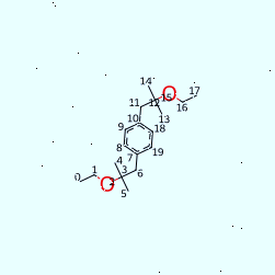 CCOC(C)(C)Cc1ccc(CC(C)(C)OCC)cc1